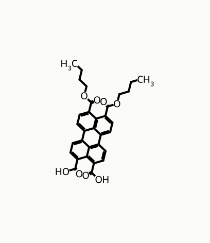 CCCCOC(=O)c1ccc2c3ccc(C(=O)O)c4c(C(=O)O)ccc(c5ccc(C(=O)OCCCC)c1c25)c43